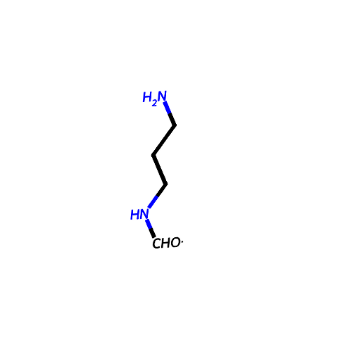 NCCCN[C]=O